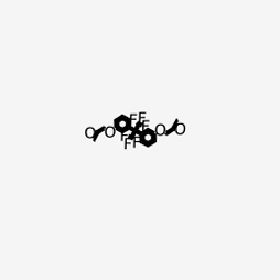 FC(F)(F)C(c1cccc(OCC2CO2)c1)(c1cccc(OCC2CO2)c1)C(F)(F)F